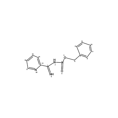 N=C(NC(=O)OCc1ccccc1)c1cc[c]cn1